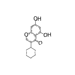 O=c1c(C2CCCCC2)coc2cc(O)cc(O)c12